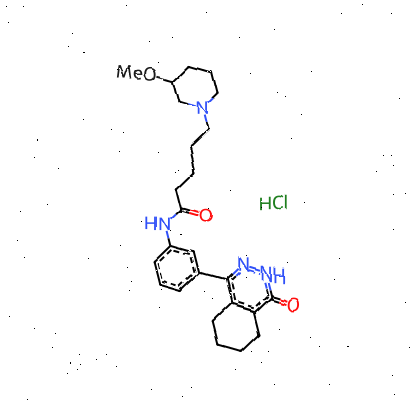 COC1CCCN(CCCCC(=O)Nc2cccc(-c3n[nH]c(=O)c4c3CCCC4)c2)C1.Cl